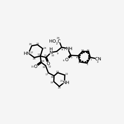 N#Cc1ccc(C(=O)NC(CNC(=O)C2(C(=O)CCC3CCNCC3)CCCNC2)C(=O)O)cc1